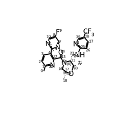 Cc1ccc(-c2ncc(F)cn2)c(C(=O)N2C[C@@H](C)O[C@@H](C)[C@H]2CNc2ccc(C(F)(F)F)cn2)n1